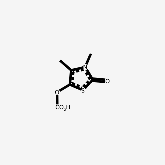 Cc1c(OC(=O)O)sc(=O)n1C